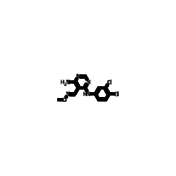 CON=Cc1c(N)ncnc1Nc1ccc(Cl)c(Cl)c1